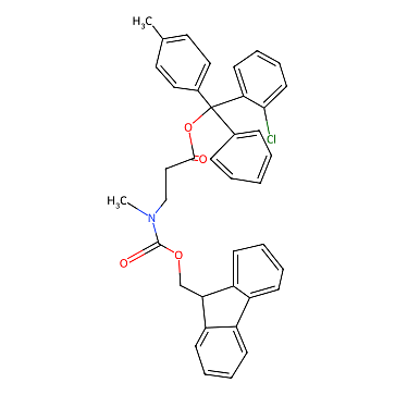 Cc1ccc(C(OC(=O)CCN(C)C(=O)OCC2c3ccccc3-c3ccccc32)(c2ccccc2)c2ccccc2Cl)cc1